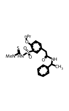 CCCOc1ccc(CC(=O)NC(C)c2ccccc2)cc1S(=O)(=O)NC(=S)NC